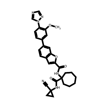 COc1cc(-c2ccc3cc(C(=O)NC4(C(=O)NC5(C#N)CC5)CCCCCC4)oc3c2)ccc1-n1cncn1